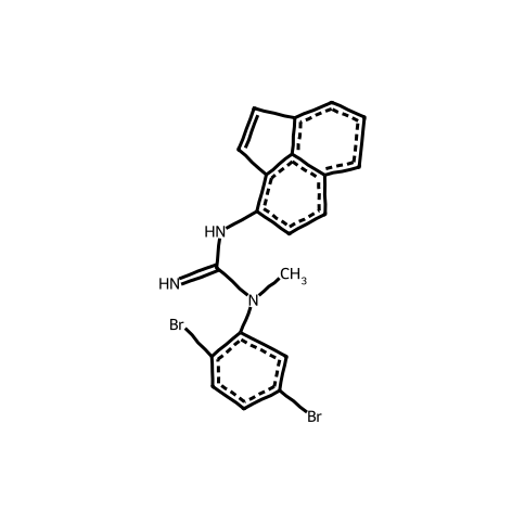 CN(C(=N)Nc1ccc2cccc3c2c1C=C3)c1cc(Br)ccc1Br